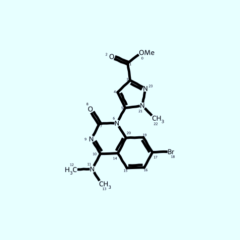 COC(=O)c1cc(-n2c(=O)nc(N(C)C)c3ccc(Br)cc32)n(C)n1